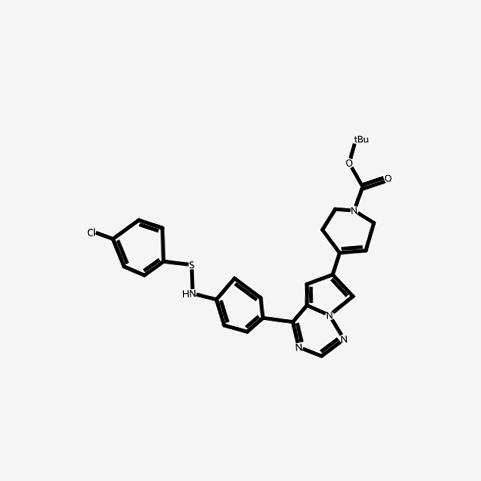 CC(C)(C)OC(=O)N1CC=C(c2cc3c(-c4ccc(NSc5ccc(Cl)cc5)cc4)ncnn3c2)CC1